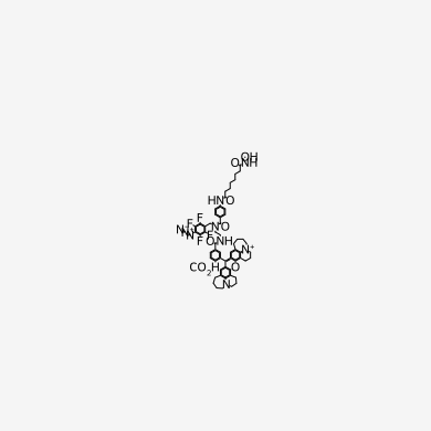 [N-]=[N+]=Nc1c(F)c(F)c(CN(CCNC(=O)c2ccc(C(=O)O)c(C3=c4cc5c6c(c4Oc4c3cc3c7c4CCCN7CCCC3)CCC[N+]=6CCCC5)c2)C(=O)c2ccc(NC(=O)CCCCCCC(=O)NO)cc2)c(F)c1F